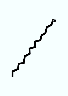 CCCCCCCCCCCCCC[CH2][Co]